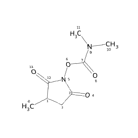 CC1CC(=O)N(OC(=O)N(C)C)C1=O